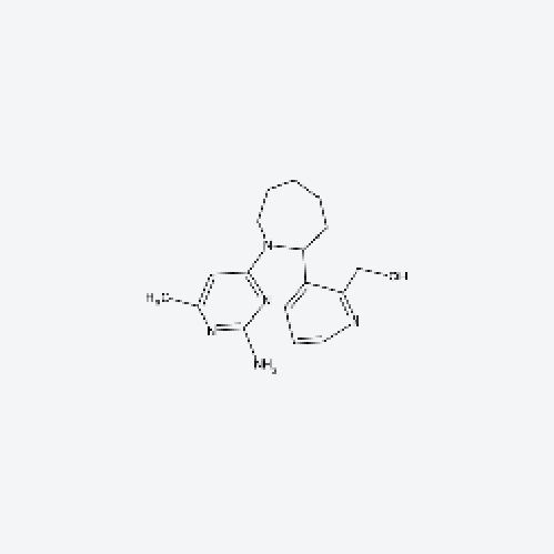 Cc1cc(N2CCCCCC2c2cccnc2CO)nc(N)n1